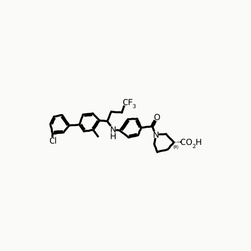 Cc1cc(-c2cccc(Cl)c2)ccc1C(CCC(F)(F)F)Nc1ccc(C(=O)N2CCC[C@@H](C(=O)O)C2)cc1